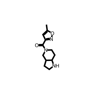 Cc1cc(C(=O)N2CCC3NCCC3C2)no1